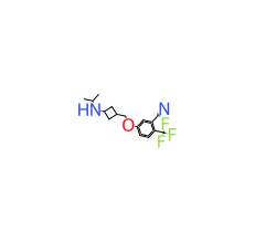 CC(C)NC1CC(COc2ccc(C(F)(F)F)c(C#N)c2)C1